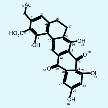 CC(=O)Cc1cc2c(c(O)c1C(=O)O)-c1cc3c(c(O)c1CC2)C(=O)c1c(O)cc(O)cc1C3=O